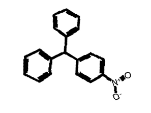 O=[N+]([O-])c1ccc([C](c2ccccc2)c2ccccc2)cc1